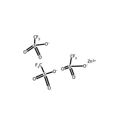 O=S(=O)([O-])C(F)(F)F.O=S(=O)([O-])C(F)(F)F.O=S(=O)([O-])C(F)(F)F.[Zn+3]